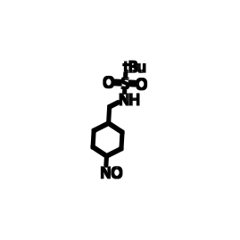 CC(C)(C)S(=O)(=O)NCC1CCC(N=O)CC1